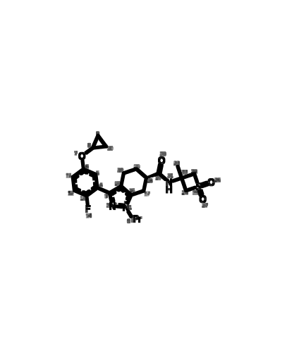 CC(C)n1nc(-c2cc(OC3CC3)ccc2F)c2c1C[C@H](C(=O)NC1(C)CS(=O)(=O)C1)CC2